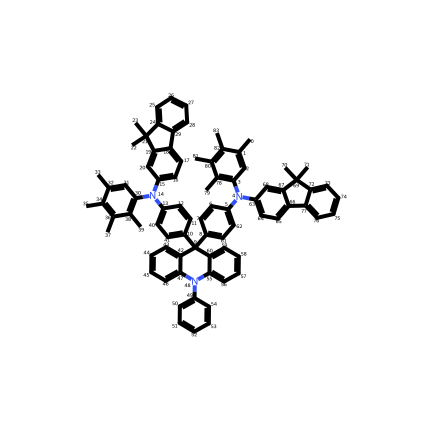 Cc1cc(N(c2ccc(C3(c4ccc(N(c5ccc6c(c5)C(C)(C)c5ccccc5-6)c5cc(C)c(C)c(C)c5C)cc4)c4ccccc4N(c4ccccc4)c4ccccc43)cc2)c2ccc3c(c2)C(C)(C)c2ccccc2-3)c(C)c(C)c1C